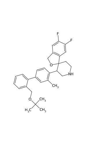 Cc1cc(-c2ccccc2COC(C)(C)C)ccc1C1CNCCC12OCc1cc(F)c(F)cc12